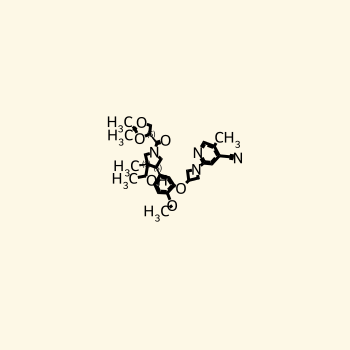 COc1ccc([C@@H]2CN(C(=O)[C@@H]3COC(C)(C)O3)C[C@@]2(C)C(C)O)cc1OC1CN(c2cc(C#N)c(C)cn2)C1